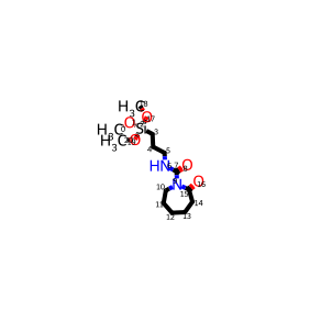 CO[Si](CCCNC(=O)N1CCCCCC1=O)(OC)OC